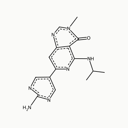 CC(C)Nc1nc(-c2cnc(N)nc2)cc2ncn(C)c(=O)c12